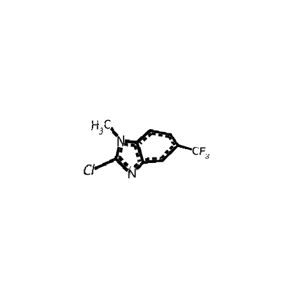 Cn1c(Cl)nc2cc(C(F)(F)F)ccc21